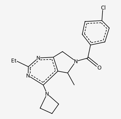 CCc1nc2c(c(N3CCC3)n1)C(C)N(C(=O)c1ccc(Cl)cc1)C2